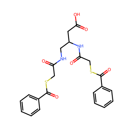 O=C(O)CC(CNC(=O)CSC(=O)c1ccccc1)NC(=O)CSC(=O)c1ccccc1